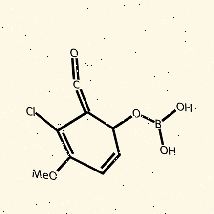 COC1=C(Cl)C(=C=O)C(OB(O)O)C=C1